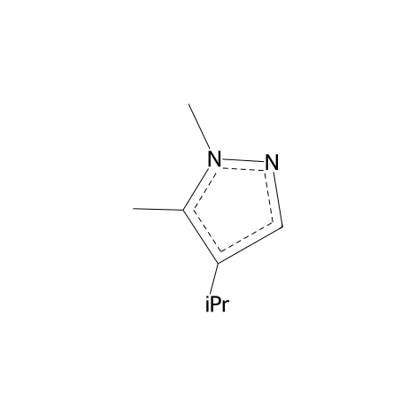 Cc1c(C(C)C)cnn1C